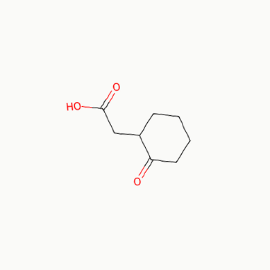 O=C(O)CC1CCCCC1=O